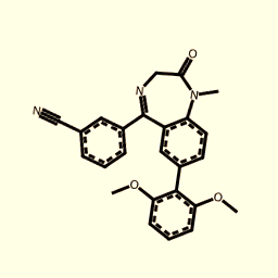 COc1cccc(OC)c1-c1ccc2c(c1)C(c1cccc(C#N)c1)=NCC(=O)N2C